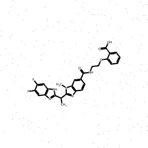 CC(c1nc2cc(F)c(F)cc2[nH]1)c1nc2ccc(C(=O)NCCOc3ccccc3C(=O)O)cc2n1C